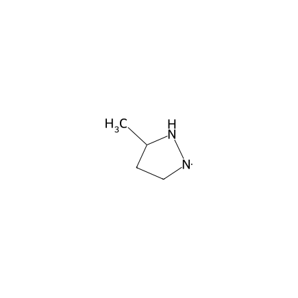 CC1CC[N]N1